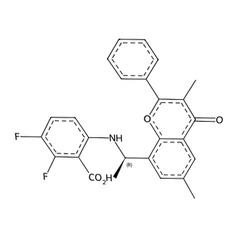 Cc1cc([C@@H](C)Nc2ccc(F)c(F)c2C(=O)O)c2oc(-c3ccccc3)c(C)c(=O)c2c1